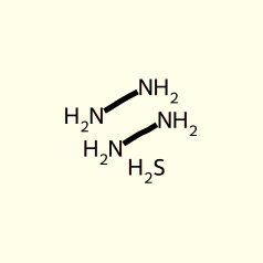 NN.NN.S